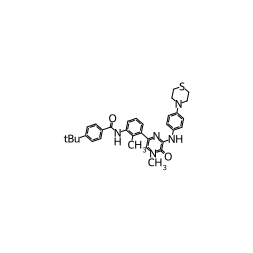 Cc1c(NC(=O)c2ccc(C(C)(C)C)cc2)cccc1-c1cn(C)c(=O)c(Nc2ccc(N3CCSCC3)cc2)n1